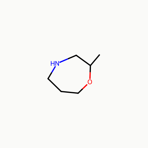 CC1CNCCCO1